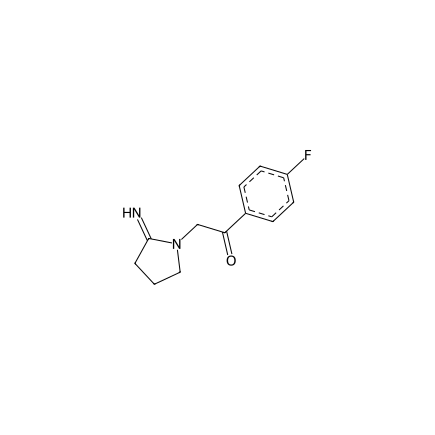 N=C1CCCN1CC(=O)c1ccc(F)cc1